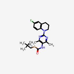 Cc1nc(N2CCCc3cc(F)ccc32)nc(C)c1NC(=O)SCC(C)(C)C